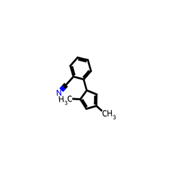 CC1=CC(c2ccccc2C#N)C(C)=C1